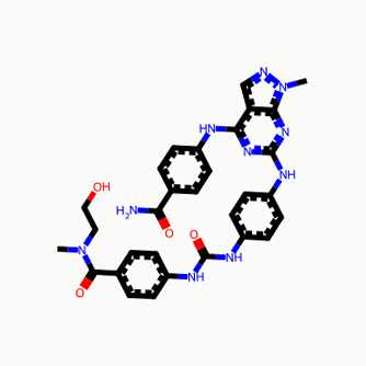 CN(CCO)C(=O)c1ccc(NC(=O)Nc2ccc(Nc3nc(Nc4ccc(C(N)=O)cc4)c4cnn(C)c4n3)cc2)cc1